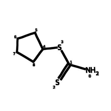 NC(=S)SC1CCCC1